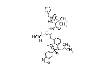 CC(C)CN(c1cccc(CC(C)CNC(=O)[C@H](NC(=O)CN2CCCC2)C(C)(C)C)c1O)S(=O)(=O)c1ccc2ncsc2c1.Cl.Cl